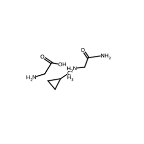 CC1CC1.NCC(=O)O.NCC(N)=O